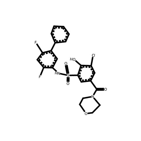 O=C(c1cc(Cl)c(O)c(S(=O)(=O)Nc2cc(-c3ccccc3)c(F)cc2F)c1)N1CCOCC1